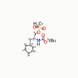 CC(C)(C)OC(=O)N[C@H](COS(C)(=O)=O)Cc1ccccc1